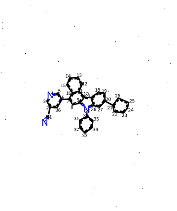 N#Cc1cncc(-c2cc3c(c4ccccc24)c2ccc(-c4ccccc4)cc2n3-c2ccccc2)c1